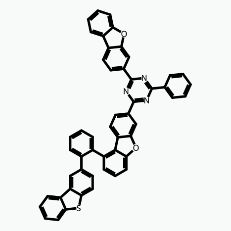 c1ccc(-c2nc(-c3ccc4c(c3)oc3ccccc34)nc(-c3ccc4c(c3)oc3cccc(-c5ccccc5-c5ccc6sc7ccccc7c6c5)c34)n2)cc1